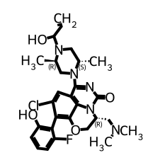 C=CC(O)N1C[C@H](C)N(c2nc(=O)n3c4c(c(-c5c(O)cccc5F)c(Cl)cc24)OC[C@H]3CN(C)C)C[C@H]1C